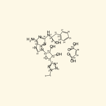 CCn1nnc(C2OC(n3cnc4c(N)nc(N[C@H](CO)Cc5ccccc5)nc43)C(O)C2O)n1.O=C(O)/C=C\C(=O)O